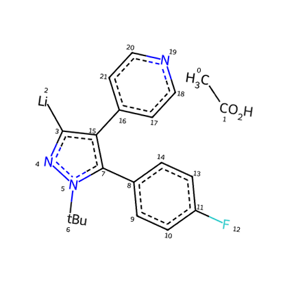 CC(=O)O.[Li][c]1nn(C(C)(C)C)c(-c2ccc(F)cc2)c1-c1ccncc1